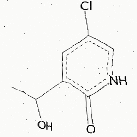 CC(O)c1cc(Cl)c[nH]c1=O